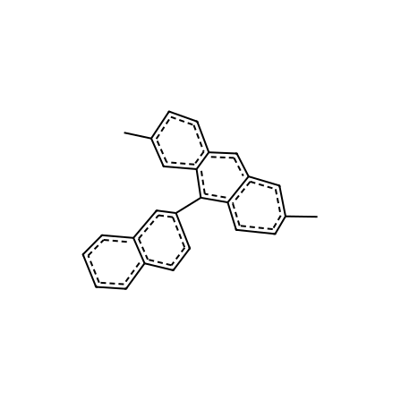 Cc1ccc2c(-c3ccc4ccccc4c3)c3cc(C)ccc3cc2c1